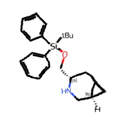 CC(C)(C)[Si](OC[C@@H]1CC2C[C@H]2CN1)(c1ccccc1)c1ccccc1